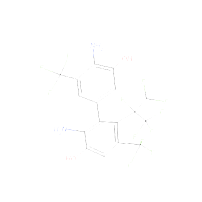 Nc1c(O)cc(-c2c(N)c(O)cc(C(F)(F)F)c2C(F)(C(F)F)C(F)(F)F)cc1C(F)(F)F